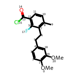 COc1ccc(CCc2c(C)ccc(C(=O)Cl)c2F)cc1OC